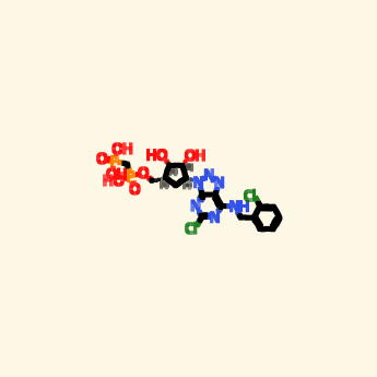 O=P(O)(O)CP(=O)(O)OC[C@H]1C[C@@H](n2nnc3c(NCc4ccccc4Cl)nc(Cl)nc32)[C@@H](O)[C@@H]1O